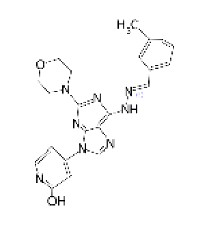 Cc1cccc(/C=N/Nc2nc(N3CCOCC3)nc3c2ncn3-c2ccnc(O)c2)c1